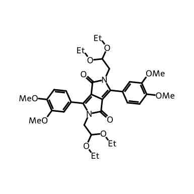 CCOC(CN1C(=O)C2=C(c3ccc(OC)c(OC)c3)N(CC(OCC)OCC)C(=O)C2=C1c1ccc(OC)c(OC)c1)OCC